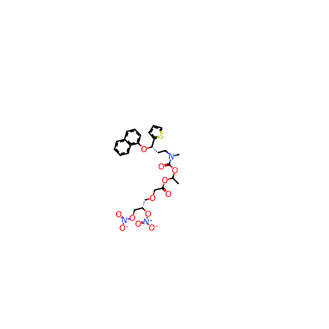 CC(OC(=O)COC[C@@H](CO[N+](=O)[O-])O[N+](=O)[O-])OC(=O)N(C)CC[C@H](Oc1cccc2ccccc12)c1cccs1